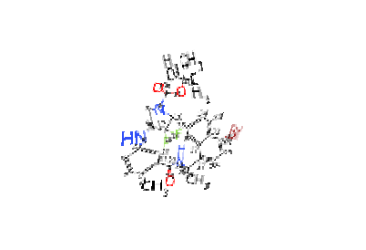 Cc1ccc(N[C@@H]2CN(C(=O)OC(C)(C)C)CC2(F)F)cc1C(=O)N[C@H](C)c1ccc(Br)c2ccccc12